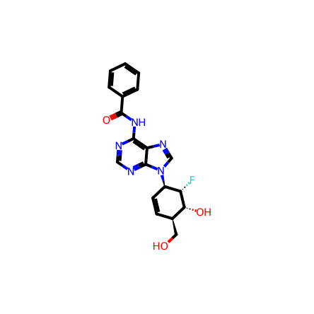 O=C(Nc1ncnc2c1ncn2[C@@H]1C=C[C@H](CO)[C@@H](O)[C@H]1F)c1ccccc1